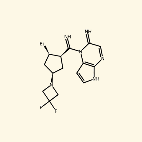 CC[C@@H]1C[C@H](N2CC(F)(F)C2)C[C@@H]1C(=N)n1c(=N)cnc2[nH]ccc21